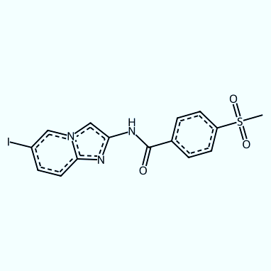 CS(=O)(=O)c1ccc(C(=O)Nc2cn3cc(I)ccc3n2)cc1